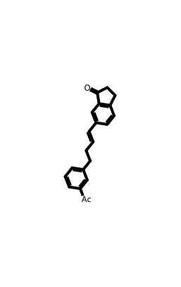 CC(=O)c1cccc(CC/C=C/c2ccc3c(c2)C(=O)CC3)c1